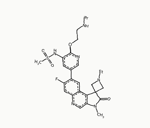 CCN1CC2(C1)C(=O)N(C)c1cnc3cc(F)c(-c4cnc(OCCNC(C)C)c(NS(C)(=O)=O)c4)cc3c12